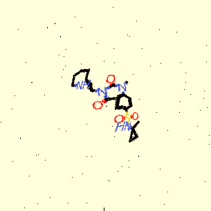 Cn1c(=O)n(CCC2CCCCN2)c(=O)c2cc(S(=O)(=O)NC3(C)CC3)ccc21